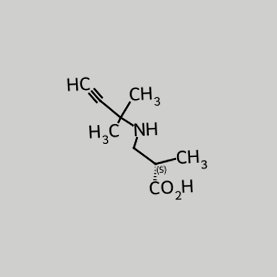 C#CC(C)(C)NC[C@H](C)C(=O)O